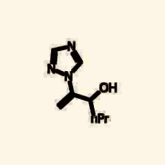 C=C(C(O)CCC)n1cncn1